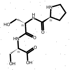 O=C(O)[C@H](CO)NC(=O)[C@H](CO)NC(=O)[C@@H]1CCCN1